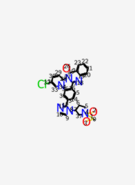 CS(=O)(=O)N1CCC(n2ccnc2-c2ccc(-c3nc4ccccc4c(=O)n3-c3ccc(Cl)cn3)cc2)C1